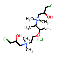 CC(OCC[N+](C)(C)CC(O)CCl)C(C)[N+](C)(C)CC(O)CCl.Cl